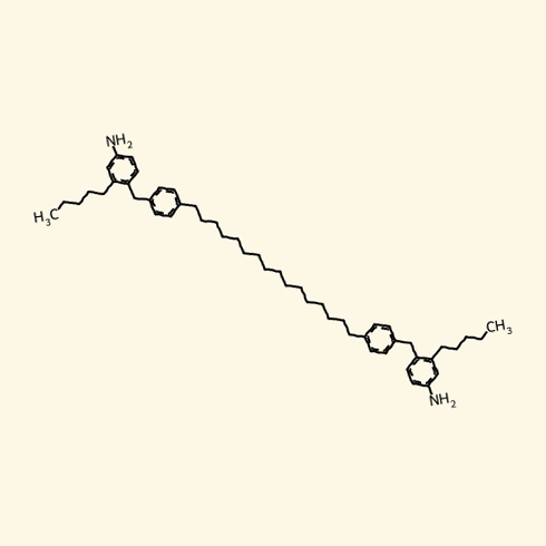 CCCCCc1cc(N)ccc1Cc1ccc(CCCCCCCCCCCCCCCCc2ccc(Cc3ccc(N)cc3CCCCC)cc2)cc1